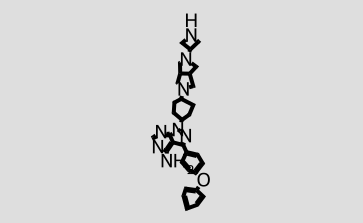 Nc1ncnc2c1c(-c1ccc(Oc3ccccc3)cc1)nn2C1CCC(N2CC3CN(C4CNC4)CC3C2)CC1